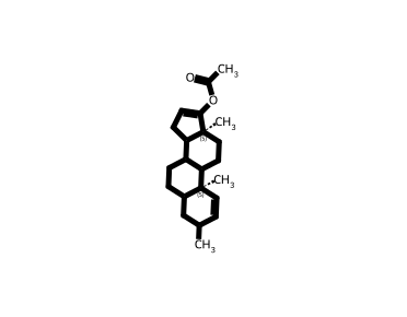 CC(=O)OC1=CCC2C3CCC4CC(C)C=C[C@]4(C)C3CC[C@]12C